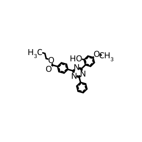 CCCOC(=O)c1ccc(-c2nc(-c3ccccc3)nc(-c3ccc(OC)cc3O)n2)cc1